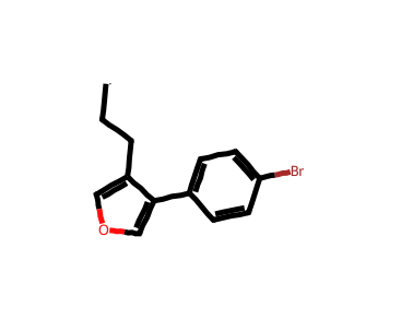 [CH2]CCc1cocc1-c1ccc(Br)cc1